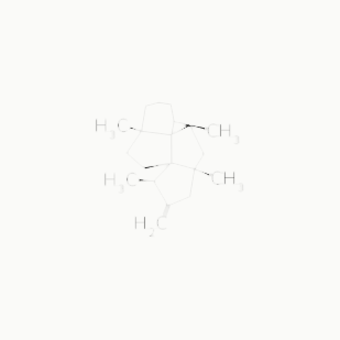 C=C1C[C@@]2(C)CC[C@]34[C@H](C)CCC[C@@]3(C)CC[C@]24[C@@H]1C